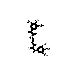 CC(C(=O)NCCNC(=O)C(C)c1cc(C(C)(C)C)c(O)c(C(C)(C)C)c1)c1cc(C(C)(C)C)c(O)c(C(C)(C)C)c1